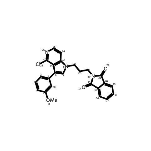 COc1cccc(-c2cn(CCCN3C(=O)c4ccccc4C3=O)c3ccnc(Cl)c23)c1